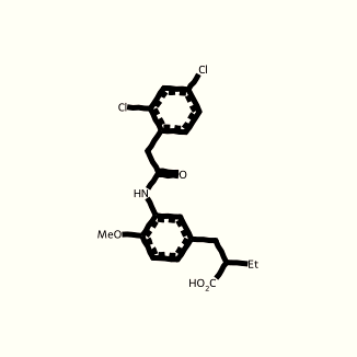 CCC(Cc1ccc(OC)c(NC(=O)Cc2ccc(Cl)cc2Cl)c1)C(=O)O